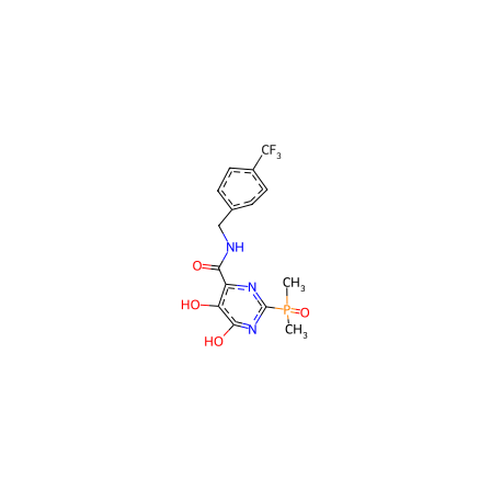 CP(C)(=O)c1nc(O)c(O)c(C(=O)NCc2ccc(C(F)(F)F)cc2)n1